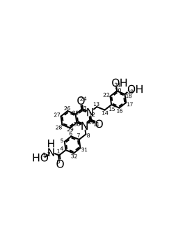 O=C(NO)c1ccc(Cn2c(=O)n(CCc3ccc(O)c(O)c3)c(=O)c3ccccc32)cc1